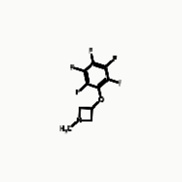 CN1CC(Oc2c(F)c(F)c(F)c(F)c2F)C1